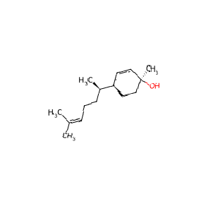 CC(C)=CCC[C@@H](C)[C@H]1C=C[C@@](C)(O)CC1